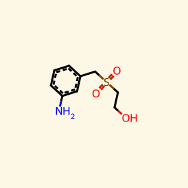 Nc1cccc(CS(=O)(=O)CCO)c1